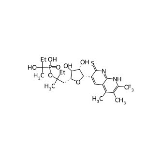 CCC(C)(C[C@H]1O[C@@H](c2cc3c(C)c(C)c(C(F)(F)F)[nH]c-3nc2=S)[C@@H](O)C1O)OP(=O)(O)C(C)(O)CC